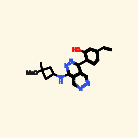 C=Cc1ccc(-c2nnc(NC3CC(C)(OC)C3)c3cnncc23)c(O)c1